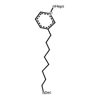 CCCCCCCCCCCCCCCCCCc1ccc[n+](CCCCCCC)c1